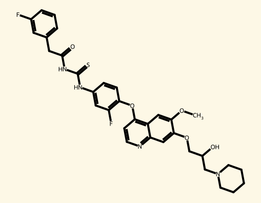 COc1cc2c(Oc3ccc(NC(=S)NC(=O)Cc4cccc(F)c4)cc3F)ccnc2cc1OCC(O)CN1CCCCC1